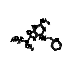 CN(C(=O)O)c1nc2c(NCc3ccccn3)nc(N)nc2o1